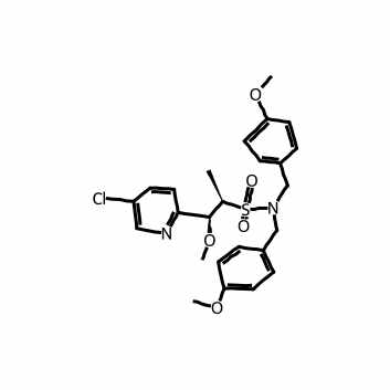 COc1ccc(CN(Cc2ccc(OC)cc2)S(=O)(=O)[C@H](C)[C@@H](OC)c2ccc(Cl)cn2)cc1